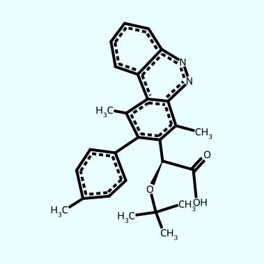 Cc1ccc(-c2c([C@H](OC(C)(C)C)C(=O)O)c(C)c3nnc4ccccc4c3c2C)cc1